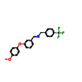 COc1ccc(Oc2cccc(/C=N/Cc3ccc(C(F)(F)F)cc3)c2)cc1